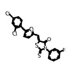 O=C1C(=Cc2ccc(-c3ccc(Cl)cc3Cl)o2)SC(=S)N1c1cccc(F)c1